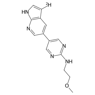 [2H]c1c[nH]c2ncc(-c3cnc(NCCOC)nc3)cc12